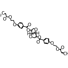 C=CC(=O)OCCOc1ccc(C(=O)O[C@@H]2CO[C@H]3[C@@H]2OC[C@H]3OC(=O)c2ccc(OCCOC(=O)C=C)cc2)cc1